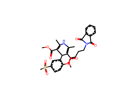 COC(=O)C1=C(C)NC(C)=C(C(=O)OC)C1c1cc(S(C)(=O)=O)ccc1OCCCCN1C(=O)c2ccccc2C1=O